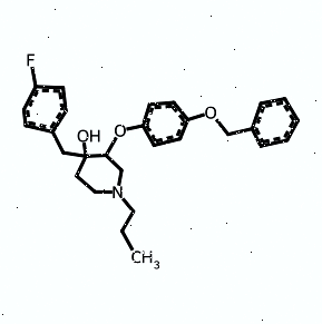 CCCN1CCC(O)(Cc2ccc(F)cc2)C(Oc2ccc(OCc3ccccc3)cc2)C1